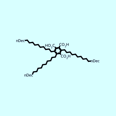 CCCCCCCCCCCCCCCCCCCCc1c(CCCCCCCCCCCCCCCCCCCC)c(C(=O)O)c(C(=O)O)c(CCCCCCCCCCCCCCCCCCCC)c1C(=O)O